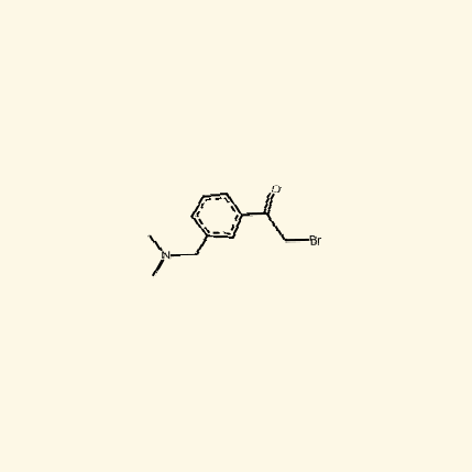 CN(C)Cc1cccc(C(=O)CBr)c1